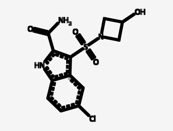 NC(=O)c1[nH]c2ccc(Cl)cc2c1S(=O)(=O)N1CC(O)C1